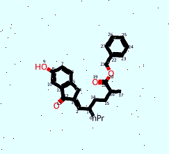 CCCC(/C=C1\Cc2ccc(O)cc2C1=O)CCC(C)C(=O)OCc1ccccc1